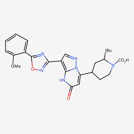 COc1ccccc1-c1nc(-c2cnn3c(C4CCN(C(=O)O)C(C(C)(C)C)C4)cc(=O)[nH]c23)no1